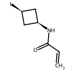 C=CC(=O)N[C@H]1C[C@@H](I)C1